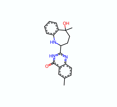 Cc1ccc2nc(C3CCC(C)(O)c4ccccc4N3)[nH]c(=O)c2c1